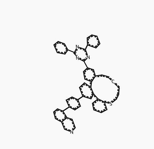 c1cccc2cc(-c3nc(-c4ccccc4)nc(-c4ccccc4)n3)ccc2c2ccc(-c3ccc(-c4cccc5cnccc45)cc3)cc2c2ccccc2scc1